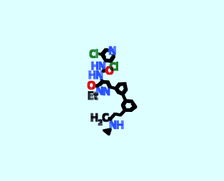 C=C(CCc1cccc(-c2cccc(-c3cc(NC(=O)Nc4c(Cl)cncc4Cl)c(=O)n(CC)n3)c2)c1)NC1CC1